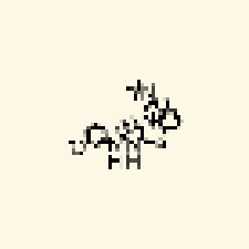 COc1cccc(NC(=O)NC2CSc3ccccc3N(CC(=O)N(C)C(C)(C)C)C2=O)c1